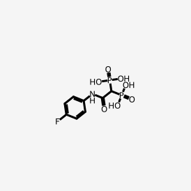 O=C(Nc1ccc(F)cc1)C(P(=O)(O)O)P(=O)(O)O